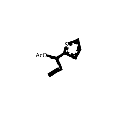 C=CC(OC(C)=O)c1cccs1